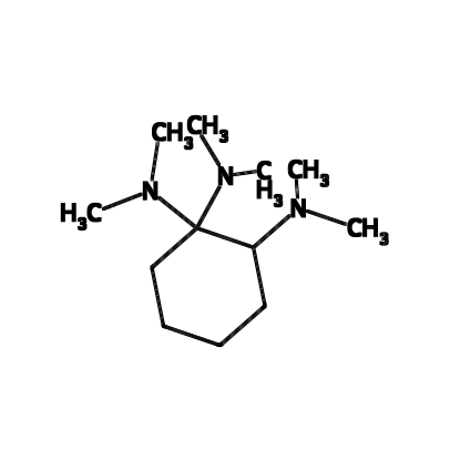 CN(C)C1CCCCC1(N(C)C)N(C)C